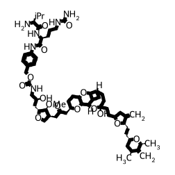 C=C1CC(CC[C@@]2(O)CC[C@@H]3CC4C3OC3CC[C@H](CC(=O)C[C@H]5CO[C@H](C[C@H](O)CNC(=O)OCc6ccc(NC(=O)[C@H](CCCNC(N)=O)NC(=O)[C@@H](N)C(C)C)cc6)[C@@H]5OC)OC3[C@@H]4O2)O[C@H]1CC[C@H]1C[C@@H](C)C(=C)[C@@H](C)O1